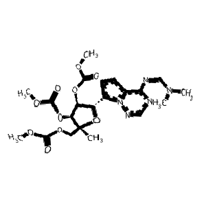 COC(=O)OC[C@@]1(C)O[C@@H](c2ccc3c(/N=C\N(C)C)ncnn23)[C@H](OC(=O)OC)[C@@H]1OC(=O)OC